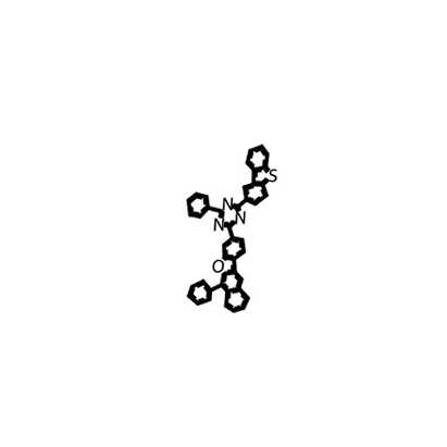 c1ccc(-c2nc(-c3ccc4c(c3)oc3c(-c5ccccc5)c5ccccc5cc34)nc(-c3ccc4sc5ccccc5c4c3)n2)cc1